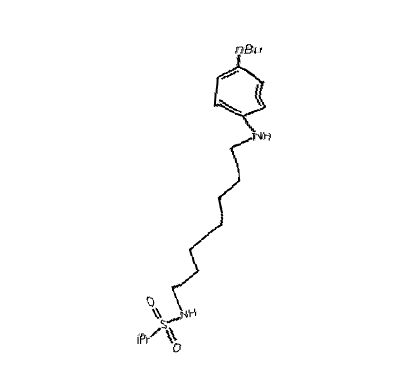 CCCCc1ccc(NCCCCCCCNS(=O)(=O)C(C)C)cc1